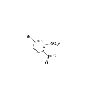 O=I(=O)c1ccc(Br)cc1S(=O)(=O)O